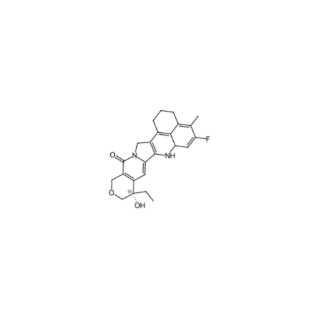 CC[C@@]1(O)COCc2c1cc1n(c2=O)CC2=C1NC1C=C(F)C(C)=C3CCCC2=C31